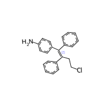 Nc1ccc(/C(=C(/CCCl)c2ccccc2)c2ccccc2)cc1